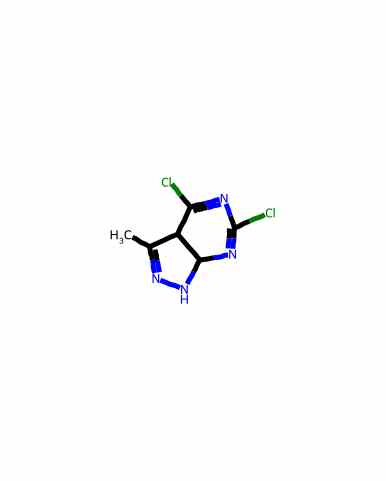 CC1=NNC2N=C(Cl)N=C(Cl)C12